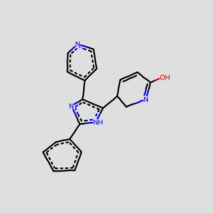 OC1=NCC(c2[nH]c(-c3ccccc3)nc2-c2ccncc2)C=C1